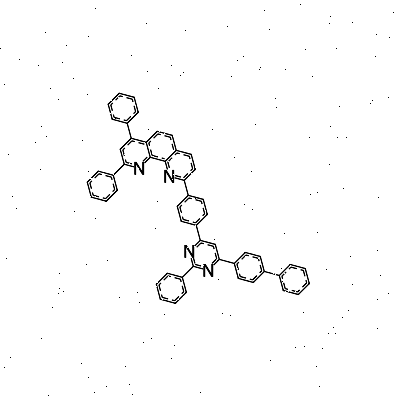 c1ccc(-c2ccc(-c3cc(-c4ccc(-c5ccc6ccc7c(-c8ccccc8)cc(-c8ccccc8)nc7c6n5)cc4)nc(-c4ccccc4)n3)cc2)cc1